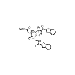 CNC(=O)CNC(=O)[C@@H](CNC(=O)c1cc2ccccc2s1)NC(=O)[C@@H](NC(=O)c1cc2ccccc2s1)C(C)C